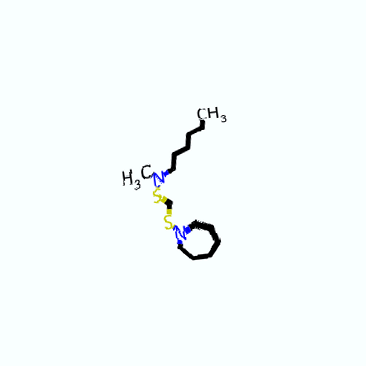 CCCCCCN(C)SCSN1CCCCCC1